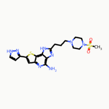 CS(=O)(=O)N1CCN(CCCc2nc3c(N)nc4cc(-c5cc[nH]n5)sc4c3[nH]2)CC1